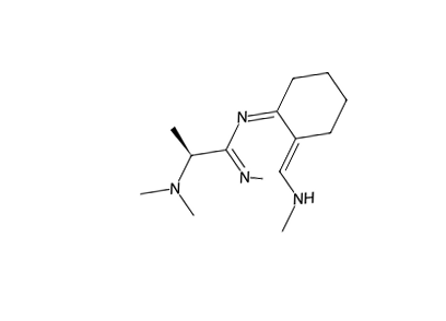 C\N=C(/N=C1/CCCC/C1=C\NC)[C@H](C)N(C)C